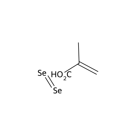 C=C(C)C(=O)O.[Se]=[Se]